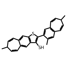 Cc1cc2c(cc1-c1sc3cc4c(cc3c1S)C=CC(C)C=C4)C=CC(C)C=C2